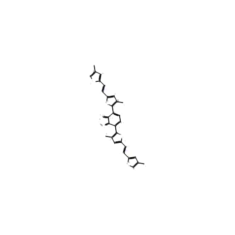 Cc1csc(/C=C/c2cc(C)c(-c3ccc(-c4sc(/C=C/c5cc(C)cs5)cc4C)c4nsnc34)s2)c1